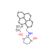 CS(=O)(=O)O.O[C@@H]1CCC[C@H](O)[C@H]1NCc1ccc2ccc3cccc4ccc1c2c34